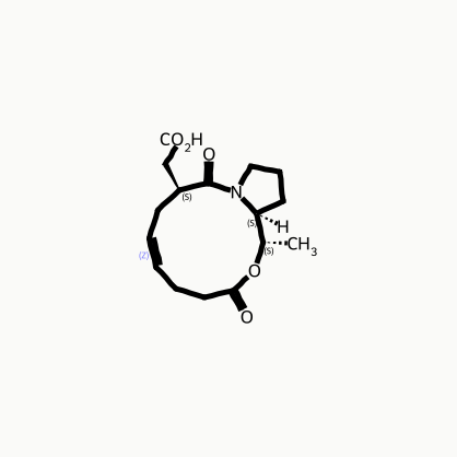 C[C@@H]1OC(=O)CC/C=C\C[C@@H](CC(=O)O)C(=O)N2CCC[C@@H]12